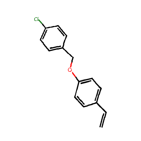 C=Cc1ccc(OCc2ccc(Cl)cc2)cc1